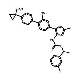 COc1cc(-c2sc(F)cc2NC(=O)OC(C)c2cccc(F)c2)ccc1-c1ccc(C2(C(=O)O)CC2)cc1